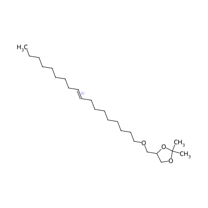 CCCCCCCC/C=C/CCCCCCCCOCC1COC(C)(C)O1